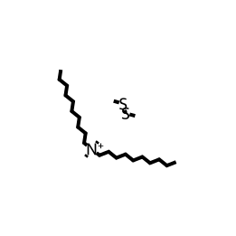 CCCCCCCCCC[N+](C)(C)CCCCCCCCCC.CSSC